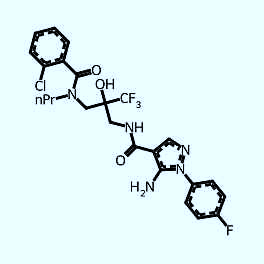 CCCN(CC(O)(CNC(=O)c1cnn(-c2ccc(F)cc2)c1N)C(F)(F)F)C(=O)c1ccccc1Cl